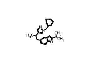 CC(C)c1cc2cc(CC(C)c3cnn(Cc4ccccc4)c3)ccc2o1